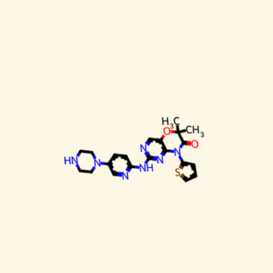 CC1(C)Oc2cnc(Nc3ccc(N4CCNCC4)cn3)nc2N(c2cccs2)C1=O